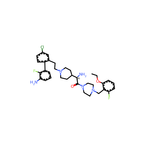 CCOc1cccc(F)c1CN1CCN(C(=O)[C@H](N)C2CCN(CCc3cc(Cl)ccc3-c3cccc(N)c3F)CC2)CC1